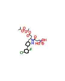 CC(C)OC(=O)OC(C)OC(=O)CC(Cc1ccc(-c2cc(Cl)ccc2F)cc1)NC(=O)CCP(=O)(O)O